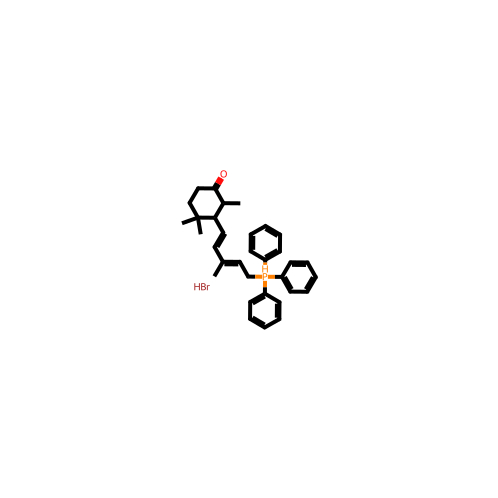 Br.CC(C=CC1C(C)C(=O)CCC1(C)C)=CC[PH](c1ccccc1)(c1ccccc1)c1ccccc1